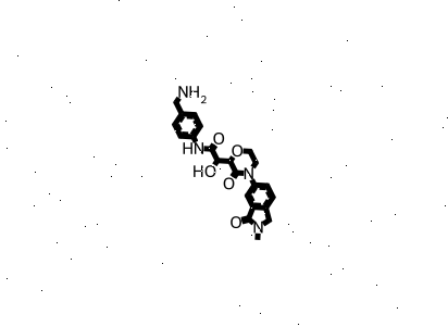 CN1Cc2ccc(N3CCOC(C(O)C(=O)Nc4ccc(CN)cc4)C3=O)cc2C1=O